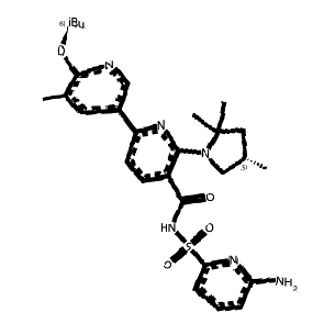 CC[C@H](C)Oc1ncc(-c2ccc(C(=O)NS(=O)(=O)c3cccc(N)n3)c(N3C[C@@H](C)CC3(C)C)n2)cc1C